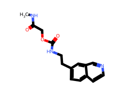 CNC(=O)COC(=O)NCCc1ccc2ccncc2c1